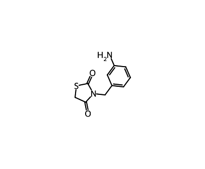 Nc1cccc(CN2C(=O)CSC2=O)c1